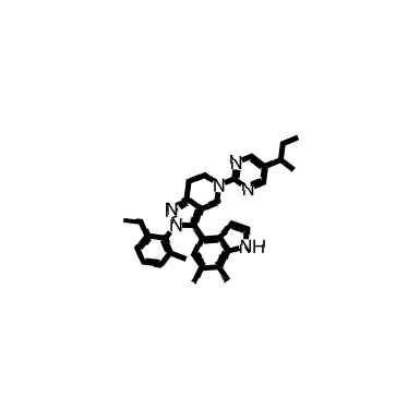 CCc1cccc(C)c1-n1nc2c(c1-c1cc(C)c(C)c3[nH]ccc13)CN(c1ncc(C(C)CC)cn1)CC2